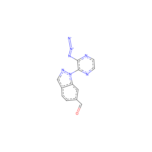 [N-]=[N+]=Nc1nccnc1-n1ncc2ccc(C=O)cc21